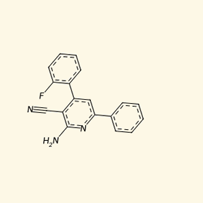 N#Cc1c(-c2ccccc2F)cc(-c2ccccc2)nc1N